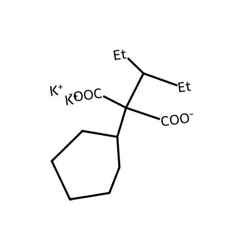 CCC(CC)C(C(=O)[O-])(C(=O)[O-])C1CCCCC1.[K+].[K+]